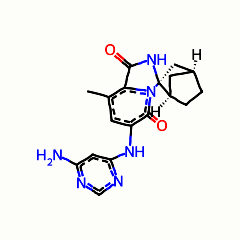 Cc1cc(Nc2cc(N)ncn2)c(=O)n2c1C(=O)N[C@]21C[C@H]2CC[C@@H]1C2